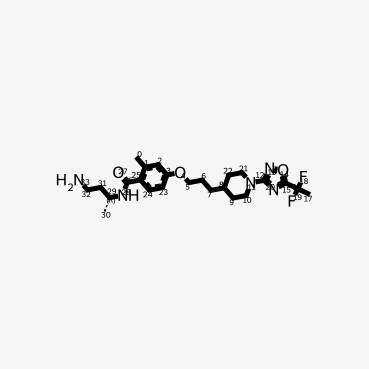 Cc1cc(OCCCC2CCN(c3noc(C(C)(F)F)n3)CC2)ccc1C(=O)N[C@H](C)CCN